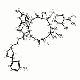 CC[C@H]1OC(=O)C(C)C(=O)[C@H](C)[C@@H](O[C@@H]2O[C@H](C)CC(N(C)C)C2O)[C@](C)(OC)C[C@@H](C)C(=O)O[C@H](C)[C@H]2N(CCCCn3cc(-c4cccc(N)c4)nn3)C(=O)O[C@]12n1ccc(N)nc1=O